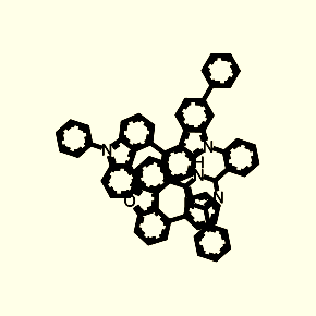 c1ccc(C2=NC(c3ccccc3-n3c4cc(-c5ccccc5)ccc4c4c(-c5cccc6c5c5ccccc5n6-c5ccccc5)cccc43)NC(c3cccc4oc5cccc(-c6ccccc6)c5c34)=N2)cc1